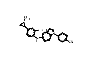 C[C@@H]1CC1c1ccc(Nc2ccc3c(ccn3-c3ccc(C#N)cc3)c2)c(C(=O)O)c1